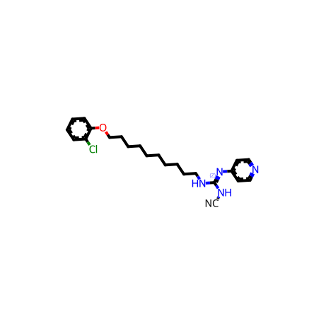 N#CN/C(=N\c1ccncc1)NCCCCCCCCCCOc1ccccc1Cl